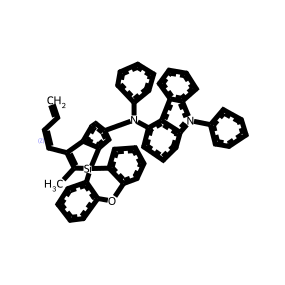 C=C/C=C\C1=C(C)[Si]2(c3ccccc3Oc3ccccc32)c2cc(N(c3ccccc3)c3cccc4c3c3ccccc3n4-c3ccccc3)ccc21